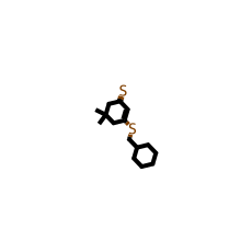 CC1(C)CC(=S)C=C(SCC2CCCCC2)C1